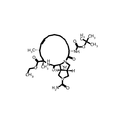 CCOC(=O)[C@]1(C)C[C@H](C)/C=C\CCCCC[C@H](NC(=O)OC(C)(C)C)C(=O)N2C[C@@H]3CN(C(N)=O)C[C@@H]3[C@H]2C(=O)N1